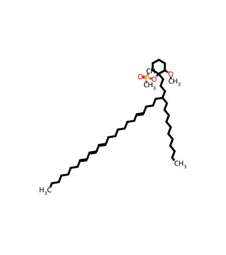 CCCCCCCC=CC=CC=CCCCCCCC=CCCCC(CCCCCCCCCCC)CCCC1(OP(C)(C)=O)CCCCC1OC